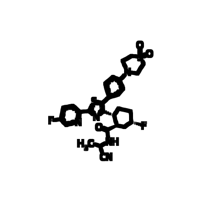 CC(C#N)NC(=O)[C@@H]1C[C@@H](F)CC[C@H]1c1nc(-c2ccc(F)cn2)sc1-c1ccc(N2CCS(=O)(=O)CC2)cc1